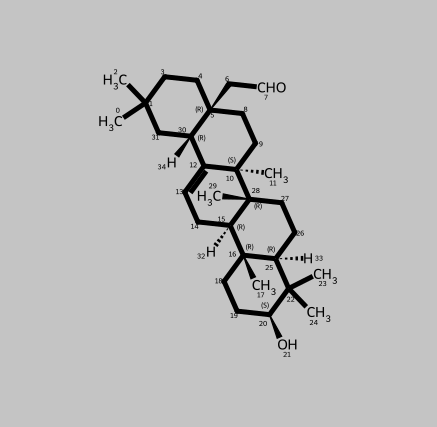 CC1(C)CC[C@]2(CC=O)CC[C@]3(C)C(=CC[C@@H]4[C@@]5(C)CC[C@H](O)C(C)(C)[C@@H]5CC[C@]43C)[C@@H]2C1